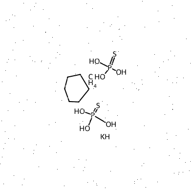 C.C1CCCCC1.OP(O)(O)=S.OP(O)(O)=S.[KH]